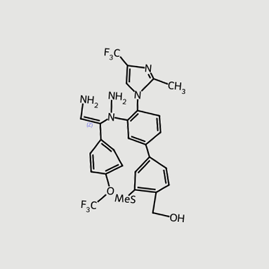 CSc1cc(-c2ccc(-n3cc(C(F)(F)F)nc3C)c(N(N)/C(=C\N)c3ccc(OC(F)(F)F)cc3)c2)ccc1CO